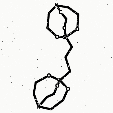 C(C[Si]12OCCN(CCO1)CCO2)C[Si]12OCCN(CCO1)CCO2